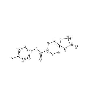 Cc1ccc(CC(=O)N2CCC3(CC2)CNC(=O)O3)cc1